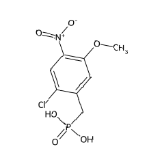 COc1cc(CP(=O)(O)O)c(Cl)cc1[N+](=O)[O-]